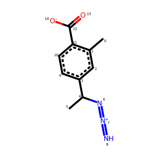 Cc1cc(C(C)N=[N+]=N)ccc1C(=O)[O-]